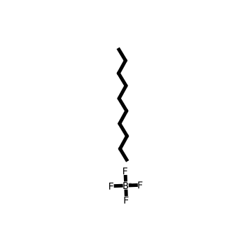 CCCCCCCCCC.F[B-](F)(F)F